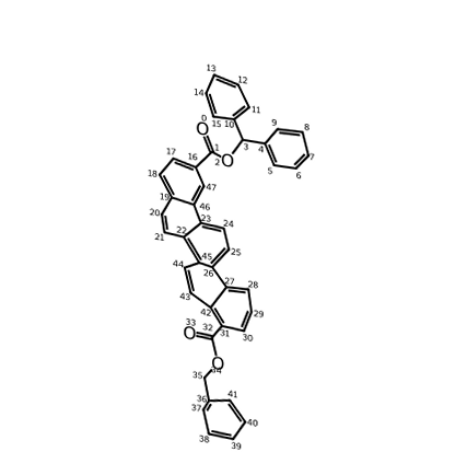 O=C(OC(c1ccccc1)c1ccccc1)c1ccc2ccc3c(ccc4c5cccc(C(=O)OCc6ccccc6)c5ccc43)c2c1